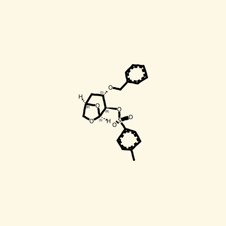 Cc1ccc(S(=O)(=O)O[C@H]2[C@H]3OC[C@@H](C[C@@H]2OCc2ccccc2)O3)cc1